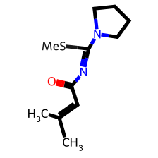 CS/C(=N\C(=O)C=C(C)C)N1CCCC1